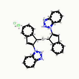 C1=C(n2nnc3ccccc32)[CH]([Ti+2][CH]2C(n3nnc4ccccc43)=Cc3ccccc32)c2ccccc21.[Cl-].[Cl-]